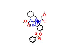 COCC(=O)Nc1ccc(OS(=O)(=O)c2ccccc2)cc1N/C(=N\C(=O)OC)NCC1CCCCC1